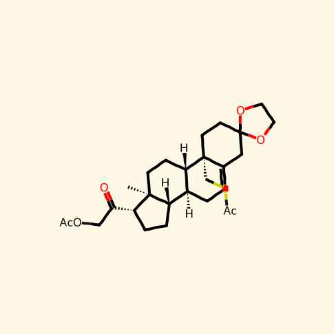 CC(=O)OCC(=O)[C@H]1CC[C@H]2[C@@H]3CC=C4CC5(CC[C@]4(CSC(C)=O)[C@H]3CC[C@]12C)OCCO5